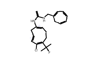 C=C(NCC1=CC=CC=CC1)N/C1=C/CC/C(C(C)(C)F)=C(Cl)\C=C\C1